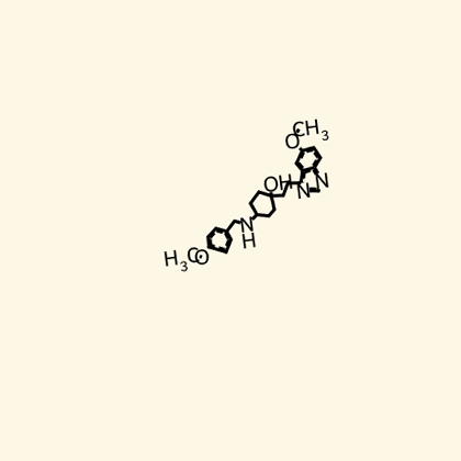 COc1ccc(CNC2CCC(O)(CCc3ncnc4ccc(OC)cc34)CC2)cc1